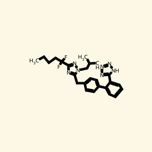 CCCCC(F)(F)c1nc(Cc2ccc(-c3ccccc3-c3nnn[nH]3)cc2)n(CC(C)C)n1